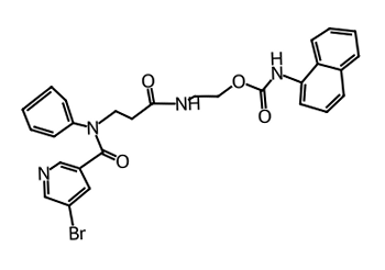 O=C(CCN(C(=O)c1cncc(Br)c1)c1ccccc1)NCCOC(=O)Nc1cccc2ccccc12